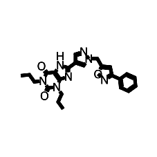 CCCn1c(=O)c2[nH]c(-c3cnn(Cc4cc(-c5ccccc5)no4)c3)nc2n(CCC)c1=O